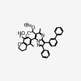 Cc1nc2c(-c3cccc(-c4ccccc4)c3)c(-c3ccccc3)nn2c(-c2cc(F)c3c(c2C)CCCO3)c1[C@H](OC(C)(C)C)C(=O)O